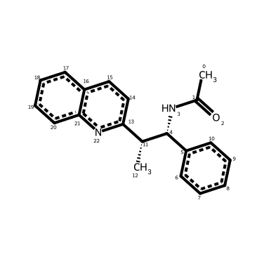 CC(=O)N[C@H](c1ccccc1)[C@H](C)c1ccc2ccccc2n1